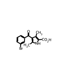 Cc1[nH]c(C(=O)O)c(C)c1C(=O)c1cccc(Br)c1